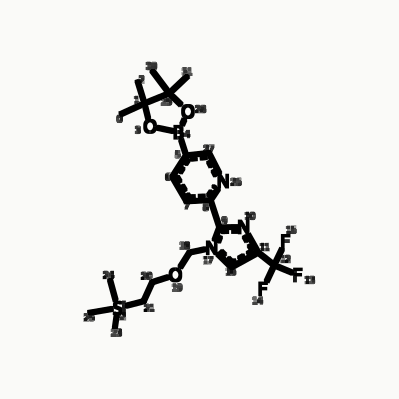 CC1(C)OB(c2ccc(-c3nc(C(F)(F)F)cn3COCC[Si](C)(C)C)nc2)OC1(C)C